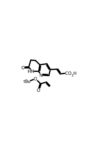 C=CC(=O)OC(C)(C)C.O=C(O)/C=C/c1cnc2c(c1)CCC(=O)N2